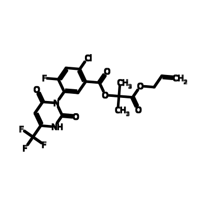 C=CCOC(=O)C(C)(C)OC(=O)c1cc(-n2c(=O)cc(C(F)(F)F)[nH]c2=O)c(F)cc1Cl